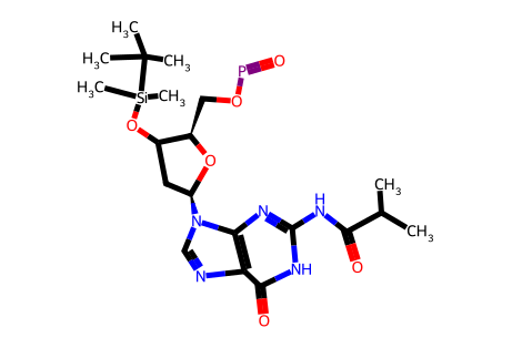 CC(C)C(=O)Nc1nc2c(ncn2[C@H]2CC(O[Si](C)(C)C(C)(C)C)[C@@H](COP=O)O2)c(=O)[nH]1